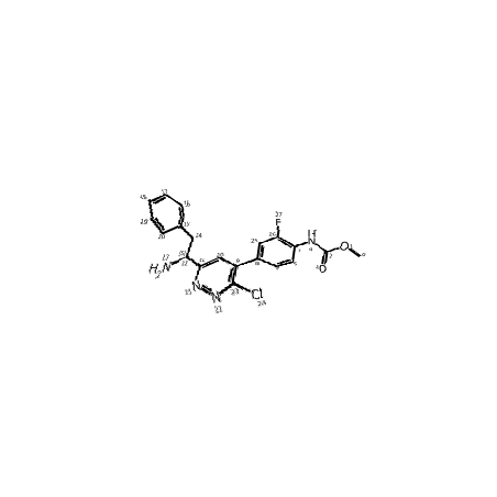 COC(=O)Nc1ccc(-c2cc([C@@H](N)Cc3ccccc3)nnc2Cl)cc1F